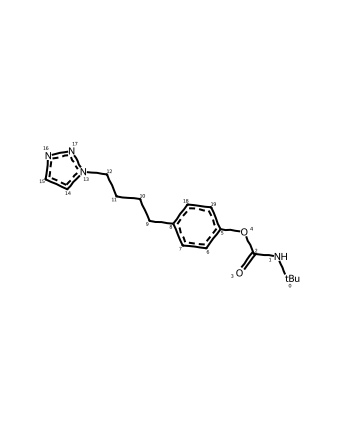 CC(C)(C)NC(=O)Oc1ccc(CCCCn2ccnn2)cc1